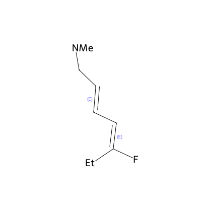 CC/C(F)=C\C=C\CNC